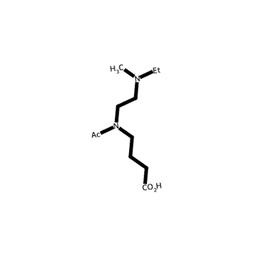 CCN(C)CCN(CCCC(=O)O)C(C)=O